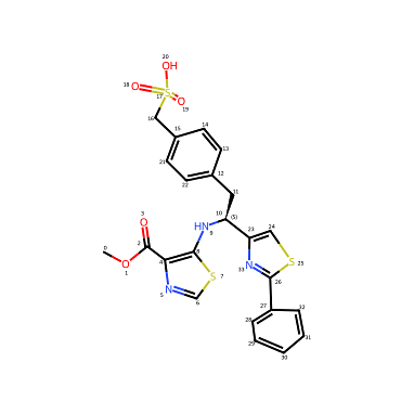 COC(=O)c1ncsc1N[C@@H](Cc1ccc(CS(=O)(=O)O)cc1)c1csc(-c2ccccc2)n1